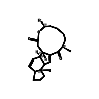 CC[C@H]1CCCC[C@@H](C)C(=O)C2=CC3[C@@H]4CCCC4C=C[C@H]3[C@@H]2CC(=O)O1